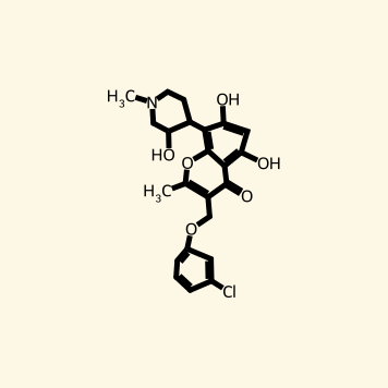 Cc1oc2c(C3CCN(C)CC3O)c(O)cc(O)c2c(=O)c1COc1cccc(Cl)c1